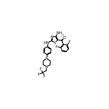 Nc1nc(Nc2ccc(N3CCN(CC(F)(F)F)CC3)cc2)sc1C(=O)c1c(F)cccc1F